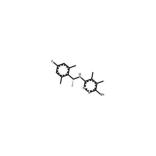 Cc1cc(F)cc(C)c1[C@@H](C)Nc1nnc(C(C)C)c(C)c1C